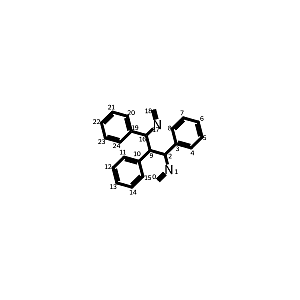 C=NC(c1ccccc1)C(c1ccccc1)C(N=C)c1ccccc1